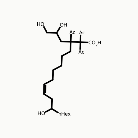 CCCCCCC(O)C/C=C\CCCCCC(CC(O)CO)(C(C)=O)C(C(C)=O)(C(C)=O)C(=O)O